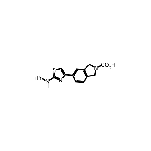 CC(C)Nc1nc(-c2ccc3c(c2)CN(C(=O)O)C3)cs1